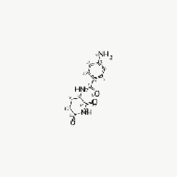 Nc1ccc(C(=O)NC2CCC(=O)NC2=O)cc1